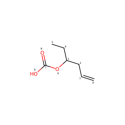 C=CCC(CC)OC(=O)O